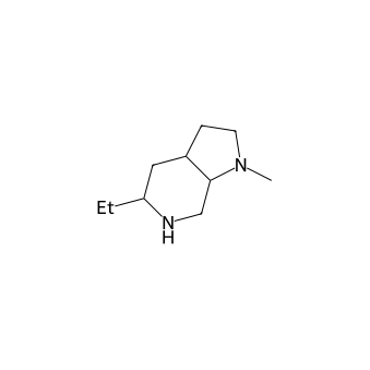 CCC1CC2CCN(C)C2CN1